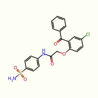 NS(=O)(=O)c1ccc(NC(=O)COc2ccc(Cl)cc2C(=O)c2ccccc2)cc1